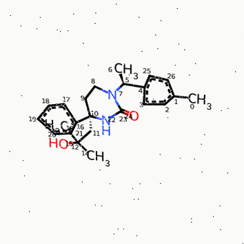 Cc1ccc([C@H](C)N2CC[C@](CC(C)(C)O)(c3ccccc3)NC2=O)cc1